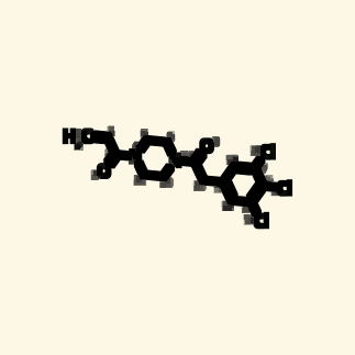 C=CC(=O)N1CCN(C(=O)Cc2cc(Cl)c(Cl)c(Cl)c2)CC1